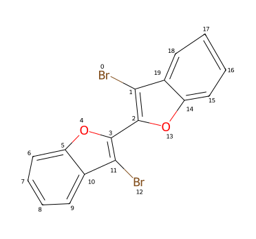 Brc1c(-c2oc3ccccc3c2Br)oc2ccccc12